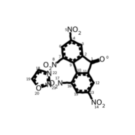 O=C1c2cc([N+](=O)[O-])cc([N+](=O)[O-])c2-c2c1cc([N+](=O)[O-])cc2[N+](=O)[O-].c1conn1